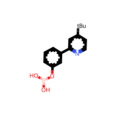 CC(C)(C)c1ccnc(-c2cccc(OB(O)O)c2)c1